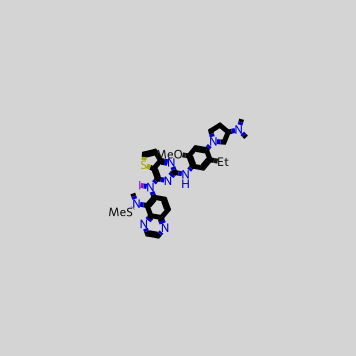 CCc1cc(Nc2nc(N(I)c3ccc4nccnc4c3N(C)SC)c3sccc3n2)c(OC)cc1N1CCC(N(C)C)C1